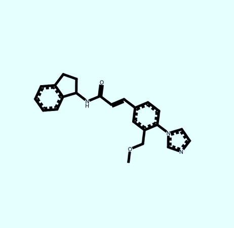 COCc1cc(C=CC(=O)NC2CCc3ccccc32)ccc1-n1ccnc1